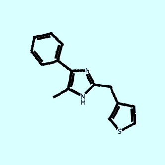 Cc1[nH]c(Cc2ccsc2)nc1-c1ccccc1